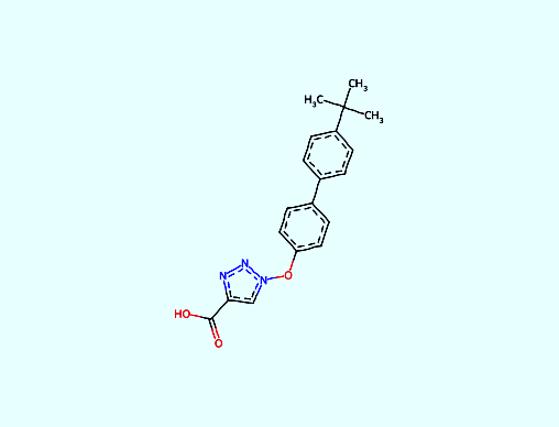 CC(C)(C)c1ccc(-c2ccc(On3cc(C(=O)O)nn3)cc2)cc1